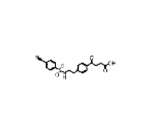 N#Cc1ccc(S(=O)(=O)NCCc2ccc(C(=O)CCC(=O)O)cc2)cc1